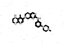 Cc1c(N2CCc3cnc(Nc4cccc(N5CCN(C)CC5)c4)nc3C2)cnc2c1NCCO2